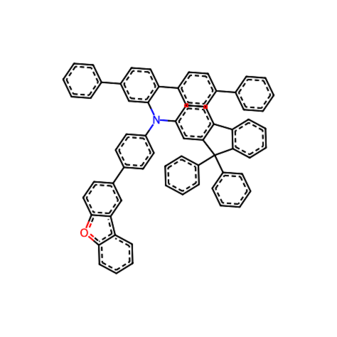 c1ccc(-c2ccc(-c3ccc(-c4ccccc4)cc3N(c3ccc(-c4ccc5oc6ccccc6c5c4)cc3)c3ccc4c(c3)C(c3ccccc3)(c3ccccc3)c3ccccc3-4)cc2)cc1